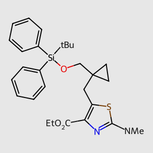 CCOC(=O)c1nc(NC)sc1CC1(CO[Si](c2ccccc2)(c2ccccc2)C(C)(C)C)CC1